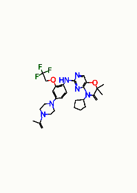 C=C(C)N1CCN(c2ccc(Nc3ncc4c(n3)N(C3CCCC3)C(=C)C(C)(C)O4)c(OCC(F)(F)F)c2)CC1